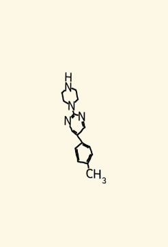 Cc1ccc(-c2cnc(N3CCNCC3)nc2)cc1